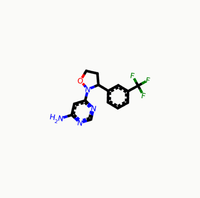 Nc1cc(N2OCCC2c2cccc(C(F)(F)F)c2)ncn1